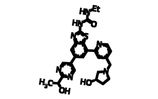 CCNC(=O)Nc1nc2cc(-c3cnc(C(C)O)nc3)cc(-c3cc(CN4CC[C@@H](O)C4)ccn3)c2s1